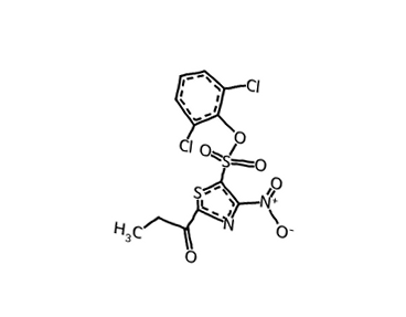 CCC(=O)c1nc([N+](=O)[O-])c(S(=O)(=O)Oc2c(Cl)cccc2Cl)s1